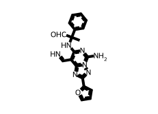 CC(C=O)(Nc1nc(N)n2nc(-c3ccco3)nc2c1C=N)c1ccccc1